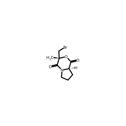 C[C@@]1(CBr)OC(=O)[C@H]2CCCN2C1=O